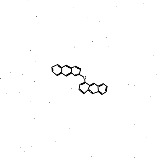 [c]1c(Oc2cccc3cc4ccccc4cc23)ccc2cc3ccccc3cc12